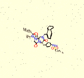 CNC(=O)N(C(C)C)N1CC(=O)N2[C@@H](Cc3ccc(NS(C)(=O)=O)cc3)C(=O)N(Cc3cccc4ccccc34)C[C@@H]21